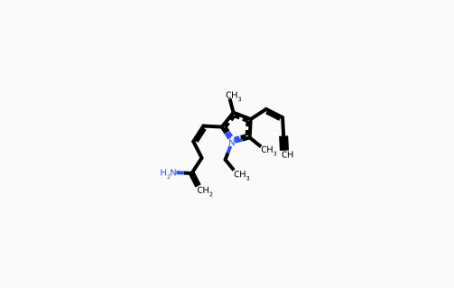 C#C/C=C\c1c(C)c(/C=C\CC(=C)N)n(CC)c1C